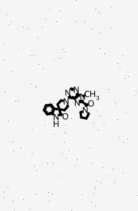 Cn1c(C(=O)N2CCCC2)nc2c(N3CCC4(CC3)C(=O)Nc3ccccc34)ncnc21